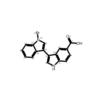 O=C(O)c1ccc2[nH]cc(-c3cn(Br)c4ccccc34)c2c1